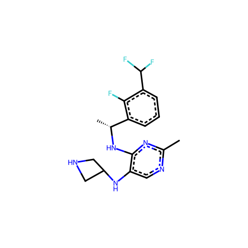 Cc1ncc(NC2CNC2)c(N[C@H](C)c2cccc(C(F)F)c2F)n1